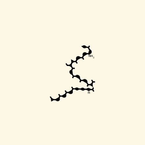 CCC1=C(C(C)C2C3C4C(C(C)C5C6C7C(C(C)C8C9C%10C(C(C)C%11C(C(C)C)[C@@H]%11CC(C)C%11C%12C(C%13C%14C(C%15C%16C(C(C)C%17C%18C%19C(C(C)C%20C%21C%22C(C(C)C%23C%24C%25C(C%26=C=C%26C)C%23%25%24)C%20%22%21)C%17%18%19)C%16%15)C%14%13)[C@H]%11%12)C8%109)C567)C234)C1C1=C=C1C(C)C1C2C3C(C(C)C4C5C6C(C7(N)C8C9C(C(C)C%10C%11=CC%11%10)[C@@]987)C456)C123